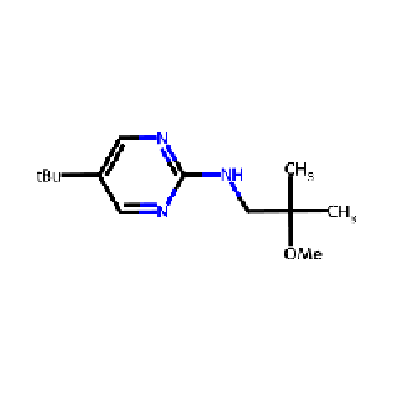 COC(C)(C)CNc1ncc(C(C)(C)C)cn1